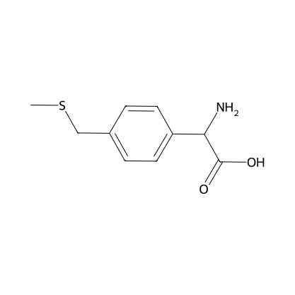 CSCc1ccc(C(N)C(=O)O)cc1